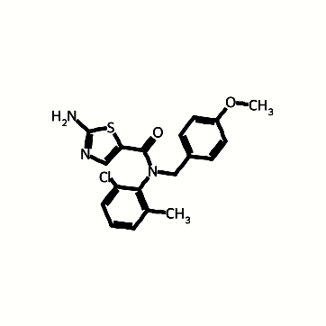 COc1ccc(CN(C(=O)c2cnc(N)s2)c2c(C)cccc2Cl)cc1